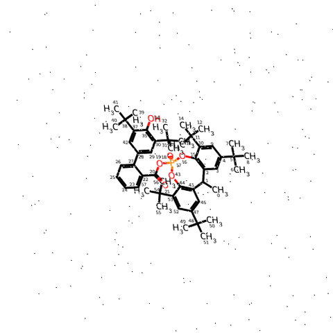 CC1c2cc(C(C)(C)C)cc(C(C)(C)C)c2OP(=O)(OC(=O)c2ccccc2-c2cc(C(C)(C)C)c(O)c(C(C)(C)C)c2)Oc2c1cc(C(C)(C)C)cc2C(C)(C)C